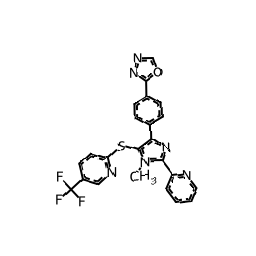 Cn1c(-c2ccccn2)nc(-c2ccc(-c3nnco3)cc2)c1Sc1ccc(C(F)(F)F)cn1